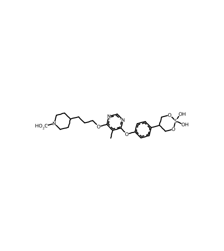 Cc1c(OCCCC2CCN(C(=O)O)CC2)ncnc1Oc1ccc(C2COS(O)(O)OC2)cc1